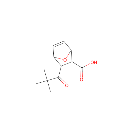 CC(C)(C)C(=O)C1C2C=CC(O2)C1C(=O)O